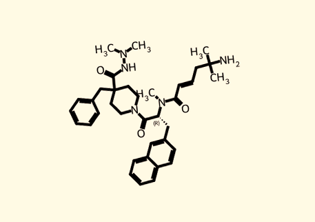 CN(C)NC(=O)C1(Cc2ccccc2)CCN(C(=O)[C@@H](Cc2ccc3ccccc3c2)N(C)C(=O)C=CCC(C)(C)N)CC1